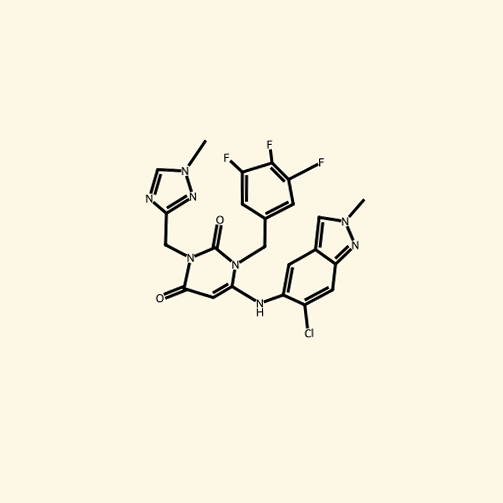 Cn1cnc(Cn2c(=O)cc(Nc3cc4cn(C)nc4cc3Cl)n(Cc3cc(F)c(F)c(F)c3)c2=O)n1